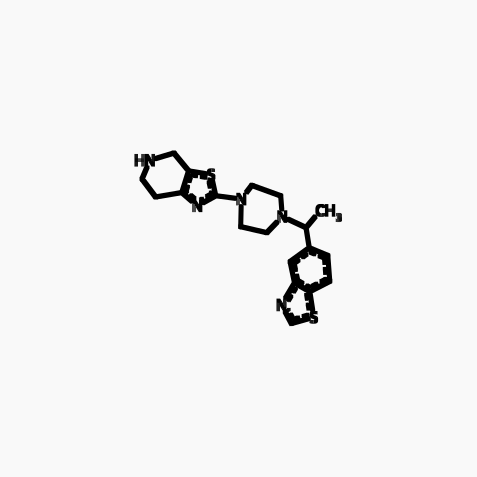 CC(c1ccc2scnc2c1)N1CCN(c2nc3c(s2)CNCC3)CC1